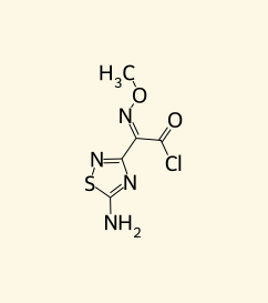 CON=C(C(=O)Cl)c1nsc(N)n1